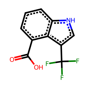 O=C(O)c1cccc2[nH]cc(C(F)(F)F)c12